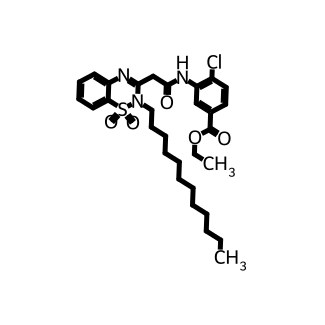 CCCCCCCCCCCCN1C(CC(=O)Nc2cc(C(=O)OCC)ccc2Cl)=Nc2ccccc2S1(=O)=O